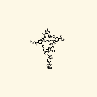 CCc1nc(C)sc1C(=O)/N=c1\sc2cc(C(N)=O)cc(OCCCN3CCC(c4nnc5n4CCN(C(=O)OC(C)(C)C)C5)CC3)c2n1C/C=C/Cn1c(NC(=O)c2cc(C)nn2CC)nc2cc(C(N)=O)cc(OC)c21